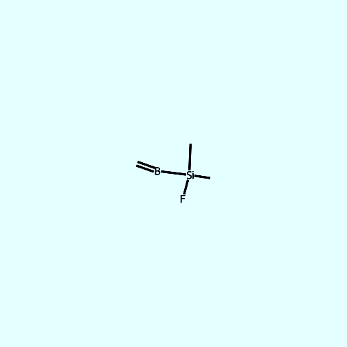 C=B[Si](C)(C)F